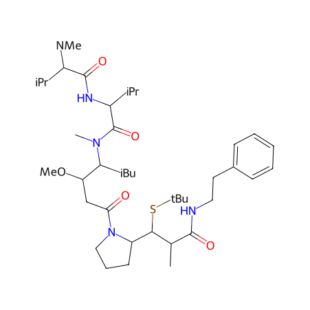 CCC(C)C(C(CC(=O)N1CCCC1C(SC(C)(C)C)C(C)C(=O)NCCc1ccccc1)OC)N(C)C(=O)C(NC(=O)C(NC)C(C)C)C(C)C